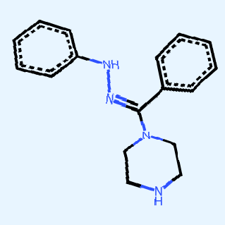 c1ccc(N/N=C(\c2ccccc2)N2CCNCC2)cc1